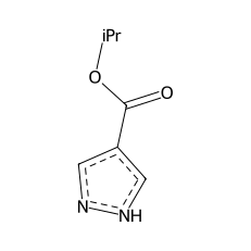 CC(C)OC(=O)c1cn[nH]c1